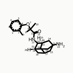 Cc1ccccc1OC(C)(C)C(=O)NC1[C@@H]2CC3C[C@H]1CC(N)(C3)C2